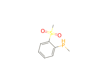 CPc1ccccc1S(C)(=O)=O